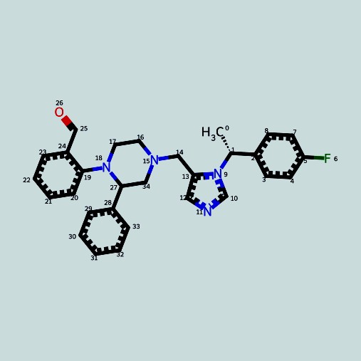 C[C@H](c1ccc(F)cc1)n1cncc1CN1CCN(c2ccccc2C=O)C(c2ccccc2)C1